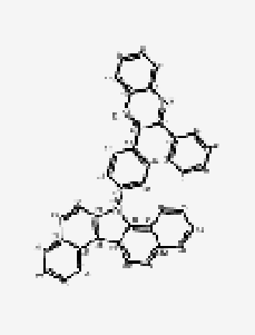 c1ccc(-c2nc3ccccc3nc2-c2ccc(-n3c4ccc5ccccc5c4c4ccc5ccccc5c43)cc2)cc1